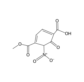 COC(=O)C1=CC=C(C(=O)O)C(=O)C1[N+](=O)[O-]